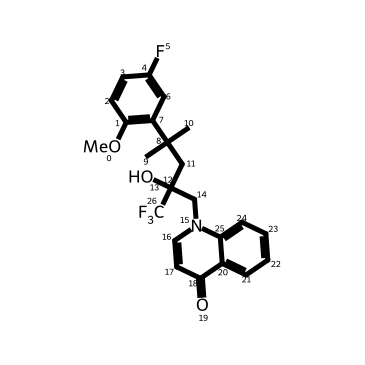 COc1ccc(F)cc1C(C)(C)CC(O)(Cn1ccc(=O)c2ccccc21)C(F)(F)F